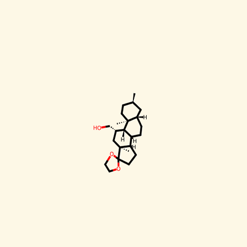 C[C@@H]1CC[C@@]2(C)[C@@H](CC[C@@H]3[C@@H]2[C@@H](CO)C[C@@]2(C)[C@H]3CCC23OCCO3)C1